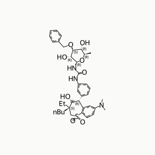 CCCC[C@]1(CC)CS(=O)(=O)c2ccc(N(C)C)cc2[C@@H](c2cccc(NC(=O)N[C@@H]3O[C@H](C)[C@@H](O)[C@H](OCc4ccccc4)[C@H]3O)c2)[C@H]1O